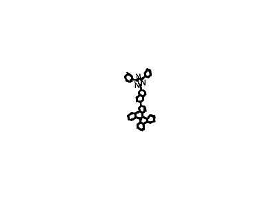 c1ccc(-c2nc(-c3ccccc3)nc(-c3ccc4cc(-c5ccc6c(c5)c5ccccc5c5c7ccccc7c7ccccc7c65)ccc4c3)n2)cc1